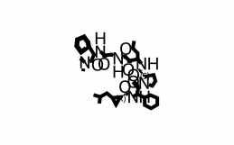 CCCC(NC(=O)[C@@H]1CCCN1C(=O)C(NC(=O)[C@@H]1CC1CC(C)C)C1CCCCC1)C(=O)C(=O)NCC(=O)NC(C(=O)N(C)C)c1ccccc1